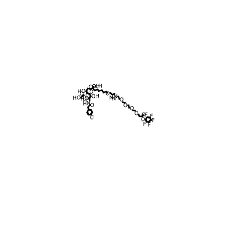 O=C(Cc1ccc(Cl)cc1)NC[C@@H](O)[C@@H](O)[C@@H]1O[C@](C(=O)O)(C(O)CCCCCCOCc2cn(CCOCCOCCOCCOCCC(=O)Oc3c(F)c(F)c(F)c(F)c3F)nn2)C[C@H](O)[C@H]1NC(=O)CO